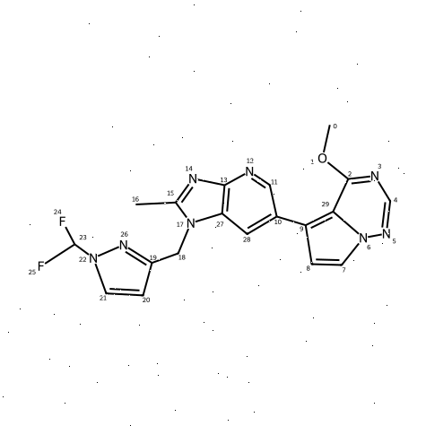 COc1ncnn2ccc(-c3cnc4nc(C)n(Cc5ccn(C(F)F)n5)c4c3)c12